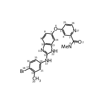 CNC(=O)c1cc(Oc2ccc3nc(Nc4ccc(Br)c(C)c4)[nH]c3c2)ccn1